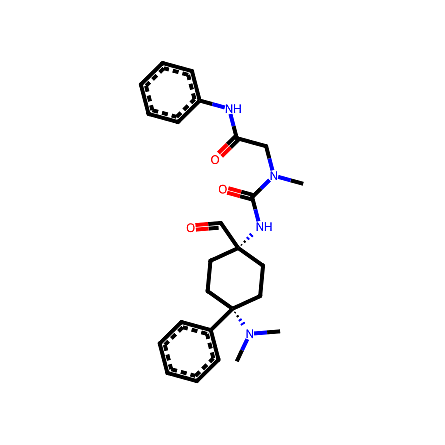 CN(CC(=O)Nc1ccccc1)C(=O)N[C@]1(C=O)CC[C@](c2ccccc2)(N(C)C)CC1